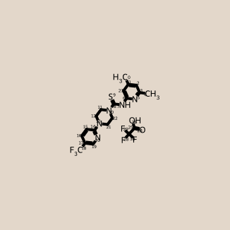 Cc1cc(C)nc(NC(=S)N2CCN(c3ccc(C(F)(F)F)cn3)CC2)c1.O=C(O)C(F)(F)F